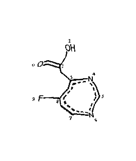 O=C(O)c1ncncc1F